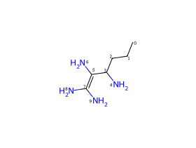 CCCC(N)C(N)=C(N)N